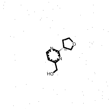 OCc1ccnc([C@@H]2CCOC2)n1